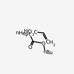 C=CC(=O)O.CCCCCCCC(=O)OCCCC